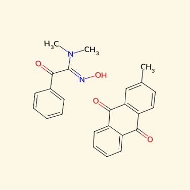 CN(C)C(=NO)C(=O)c1ccccc1.Cc1ccc2c(c1)C(=O)c1ccccc1C2=O